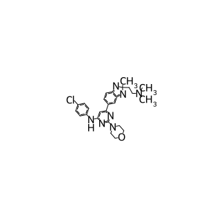 CN(C)CCC1(C)N=c2ccc(-c3cc(Nc4ccc(Cl)cc4)nc(N4CCOCC4)n3)cc2=N1